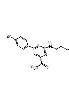 CCCCNc1nc(C(N)=O)cc(-c2ccc(Br)cc2)n1